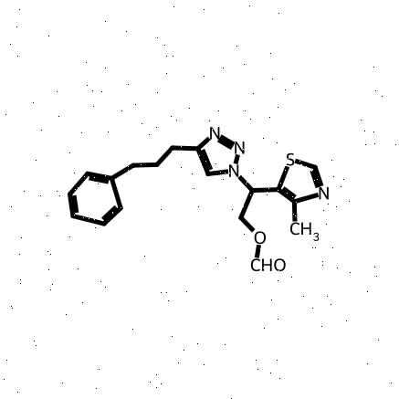 Cc1ncsc1C(COC=O)n1cc(CCCc2ccccc2)nn1